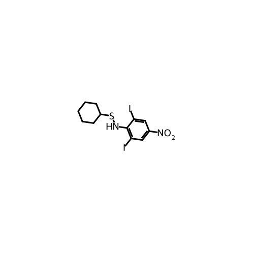 O=[N+]([O-])c1cc(I)c(NSC2CCCCC2)c(I)c1